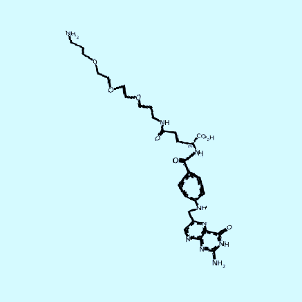 NCCCOCCOCCOCCCNC(=O)CC[C@H](NC(=O)c1ccc(NCc2cnc3nc(N)[nH]c(=O)c3n2)cc1)C(=O)O